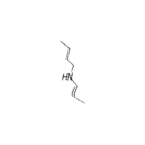 CC=CCNC=CC